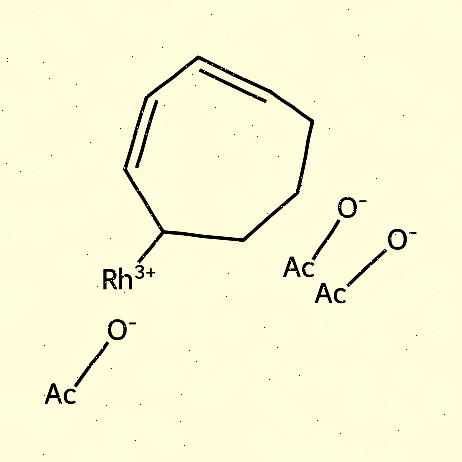 CC(=O)[O-].CC(=O)[O-].CC(=O)[O-].[Rh+3][CH]1/C=C\C=C/CCC1